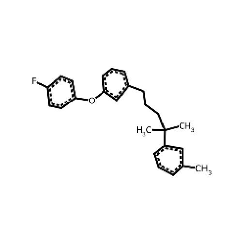 Cc1cccc(C(C)(C)CCCc2cccc(Oc3ccc(F)cc3)c2)c1